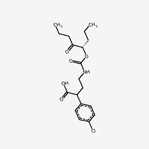 CCCC(=O)[C@H](CCC)OC(=O)NCCC(C(=O)O)c1ccc(Cl)cc1